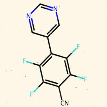 N#Cc1c(F)c(F)c(-c2cncnc2)c(F)c1F